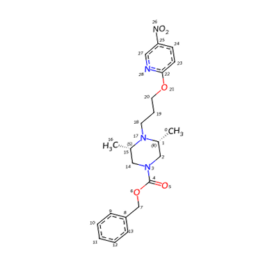 C[C@@H]1CN(C(=O)OCc2ccccc2)C[C@H](C)N1CCCOc1ccc([N+](=O)[O-])cn1